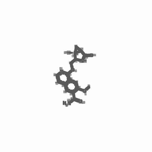 COc1cc2c(OCC3NC(=O)C4C[C@H]34)nccc2cc1C(N)=O